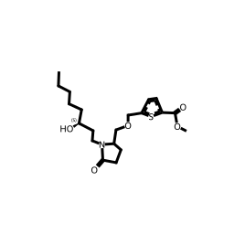 CCCCC[C@H](O)CCN1C(=O)CCC1COCc1ccc(C(=O)OC)s1